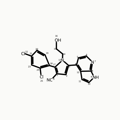 N#Cc1cc(-c2ccnc3[nH]ccc23)n(CCO)c1-c1ccc(Cl)cc1Cl